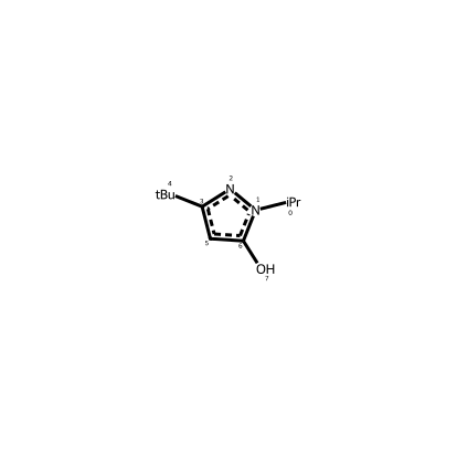 CC(C)n1nc(C(C)(C)C)cc1O